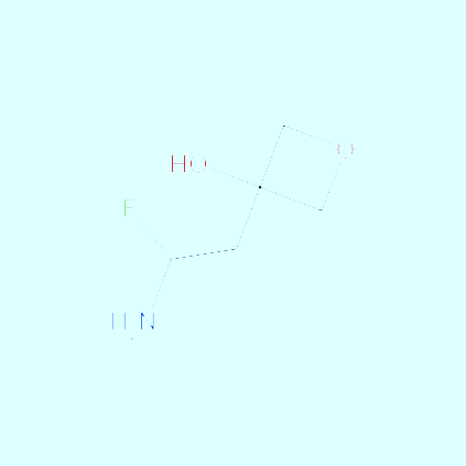 NC(F)CC1(O)COC1